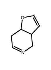 [CH]1N=CCC2OC=CC12